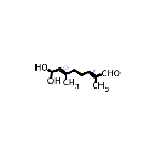 C/C(C=O)=C\CC/C(C)=C/C(O)O